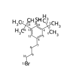 CC(C)(C)c1cc(CCCCBr)cc(C(C)(C)C)c1S